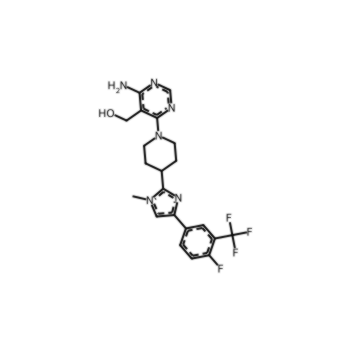 Cn1cc(-c2ccc(F)c(C(F)(F)F)c2)nc1C1CCN(c2ncnc(N)c2CO)CC1